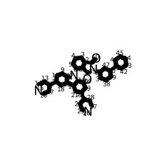 O=C1c2cccc(-n3c4ccc(-c5ccncc5)cc4c4cc(-c5ccncc5)ccc43)c2C(=O)N1c1cccc(-c2ccccc2)c1